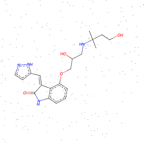 CC(C)(CCO)NCC(O)COc1cccc2c1C(=Cc1ccn[nH]1)C(=O)N2